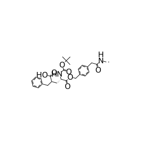 [CH2]NC(=O)Cc1ccc(COC(=O)[C@H](CC(Cc2ccccc2)C(=O)O)NC(=O)OC(C)(C)C)cc1